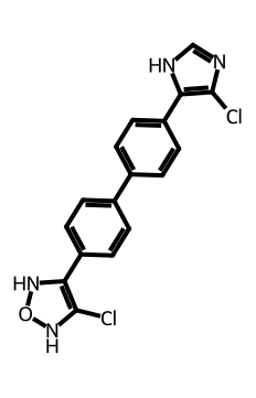 ClC1=C(c2ccc(-c3ccc(-c4[nH]cnc4Cl)cc3)cc2)NON1